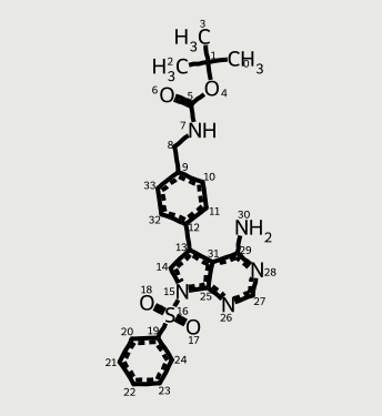 CC(C)(C)OC(=O)NCc1ccc(-c2cn(S(=O)(=O)c3ccccc3)c3ncnc(N)c23)cc1